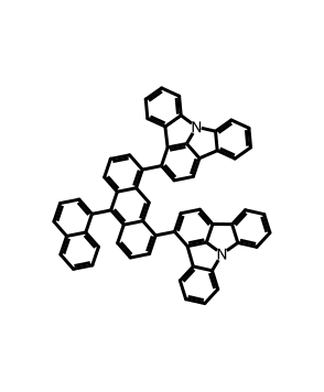 c1ccc2c(-c3c4cccc(-c5ccc6c7ccccc7n7c8ccccc8c5c67)c4cc4c(-c5ccc6c7ccccc7n7c8ccccc8c5c67)cccc34)cccc2c1